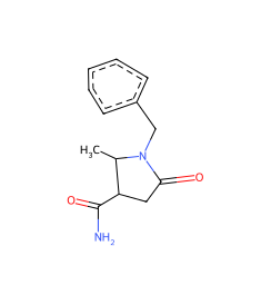 CC1C(C(N)=O)CC(=O)N1Cc1ccccc1